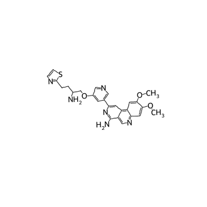 COc1cc2ncc3c(N)nc(-c4cncc(OCC(N)CCc5nccs5)c4)cc3c2cc1OC